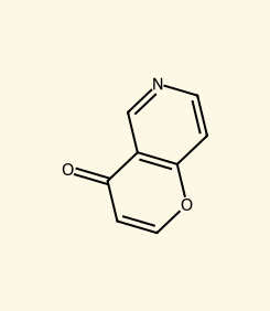 O=c1ccoc2ccncc12